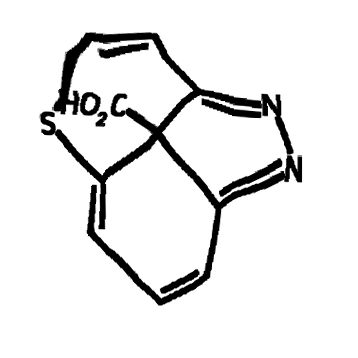 O=C(O)C12C3=CC=CC1=NN=C2C=CS3